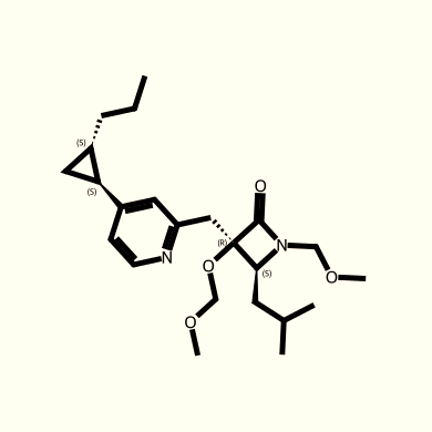 CCC[C@H]1C[C@@H]1c1ccnc(C[C@]2(OCOC)C(=O)N(COC)[C@H]2CC(C)C)c1